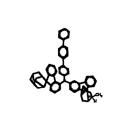 C[C@H]1C2CC3CC(C2)C2(c4ccccc4-c4cc(N(c5ccc(-c6ccc(-c7ccccc7)cc6)cc5)c5cccc6c5-c5ccccc5C65C6CC7CC(C6)CC5C7)ccc42)C1C3